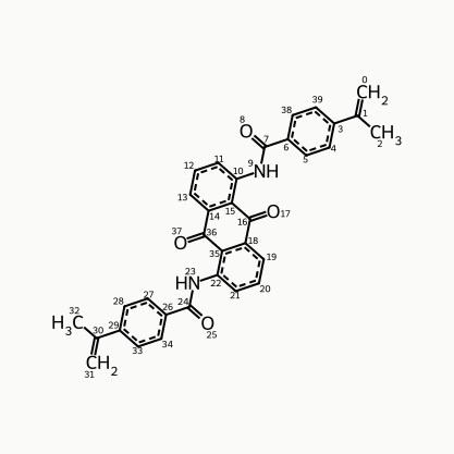 C=C(C)c1ccc(C(=O)Nc2cccc3c2C(=O)c2cccc(NC(=O)c4ccc(C(=C)C)cc4)c2C3=O)cc1